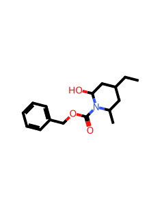 CCC1CC(C)N(C(=O)OCc2ccccc2)C(O)C1